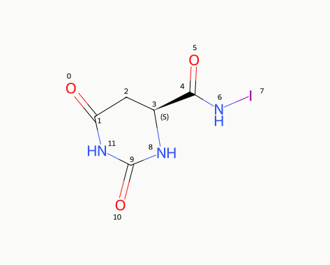 O=C1C[C@@H](C(=O)NI)NC(=O)N1